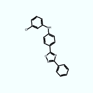 Clc1cccc(Nc2ccc(-c3nc(-c4ccccc4)no3)cc2)c1